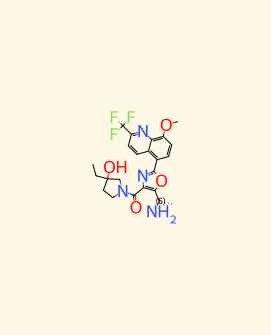 CCC1(O)CCN(C(=O)c2nc(-c3ccc(OC)c4nc(C(F)(F)F)ccc34)oc2[C@H](C)N)C1